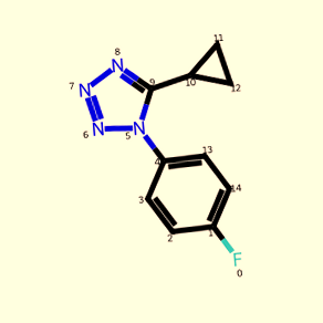 Fc1ccc(-n2nnnc2C2CC2)cc1